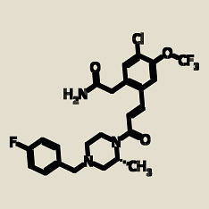 C[C@@H]1CN(Cc2ccc(F)cc2)CCN1C(=O)/C=C/c1cc(OC(F)(F)F)c(Cl)cc1CC(N)=O